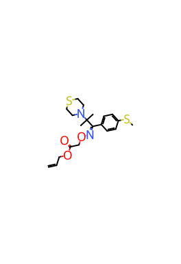 C=CCOC(=O)CON=C(c1ccc(SC)cc1)C(C)(C)N1CCSCC1